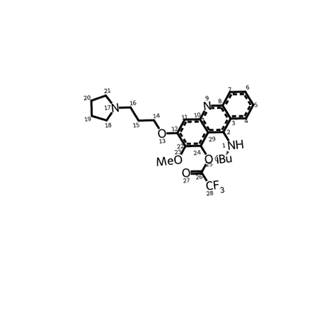 CC[C@@H](C)Nc1c2ccccc2nc2cc(OCCCN3CCCC3)c(OC)c(OC(=O)C(F)(F)F)c12